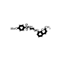 C=C/C=C\c1cccc(SSCCNS(=O)(=O)c2ccc(OC)cc2)c1C